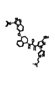 CN(C)CCn1cc(-n2nc(C(C)(C)C)cc2NC(=O)N[C@H]2CC[C@@H](Oc3ccc4nnc(N(C)C)n4c3)c3ccccc32)cn1